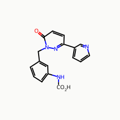 O=C(O)Nc1cccc(Cn2nc(-c3cccnc3)ccc2=O)c1